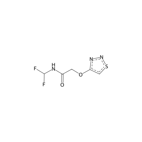 O=C(COc1csnn1)NC(F)F